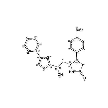 CNc1ccc([C@H]2CC(=O)N[C@@H]2C[C@H](O)c2ccc(-c3ccccc3)s2)cc1